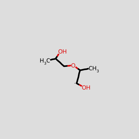 CC(O)COC(C)[CH]O